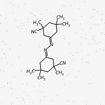 CC1(C)CC(=NN=C2CC(C)(C)CC(C)(C#N)C2)CC(C)(C#N)C1